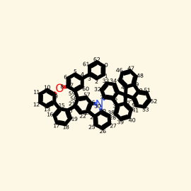 c1ccc(-c2ccc3oc4ccccc4c4ccccc4c4cc5c6ccccc6n(-c6cccc7c6-c6ccccc6C76c7ccccc7-c7ccccc76)c5cc4c3c2)cc1